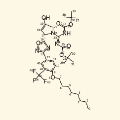 CCCCCCCCOc1ccc(-c2noc([C@@H]3C=C(O)CN3/C(=N/C(=O)OC(C)(C)C)NC(=O)OC(C)(C)C)n2)cc1C(F)(F)F